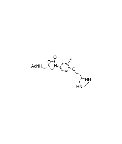 CC(=O)NC[C@H]1CN(c2ccc(OCCC3CNCCN3)c(F)c2)C(=O)O1